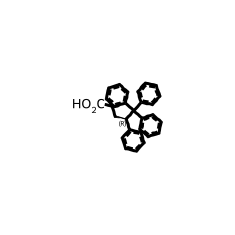 O=C(O)CC[C@H](c1ccccc1)C(c1ccccc1)(c1ccccc1)c1ccccc1